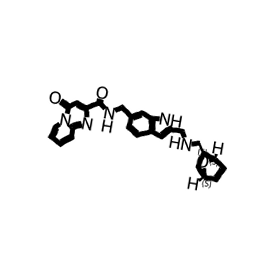 O=C(NCc1ccc2cc(CNC[C@@H]3C[C@H]4C=C[C@@H]3O4)[nH]c2c1)c1cc(=O)n2ccccc2n1